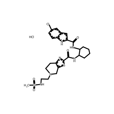 CS(=O)(=O)NCCN1CCc2nc(C(=O)NC3CCCCC3NC(=O)c3cc4cc(Cl)ccc4[nH]3)sc2C1.Cl